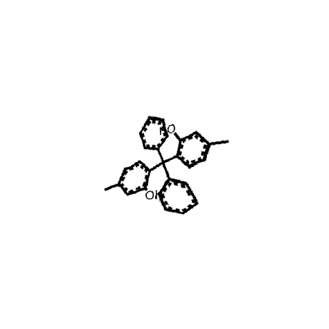 Cc1ccc(C(c2ccccc2)(c2ccccc2)c2ccc(C)cc2O)c(O)c1